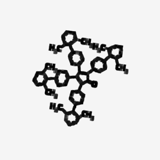 Cc1cccc(C)c1-c1ccc(C2=C(c3ccc(-c4c(C)cccc4C)cc3)C(c3ccc(-c4c(C)cccc4C)cc3)=C(c3ccc(-c4c(C)cccc4C)cc3)C2=O)cc1